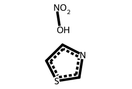 O=[N+]([O-])O.c1cscn1